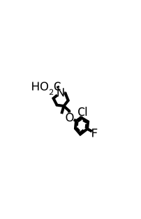 CC1(COc2ccc(F)cc2Cl)CCN(C(=O)O)CC1